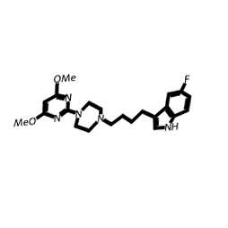 COc1cc(OC)nc(N2CCN(CCCCc3c[nH]c4ccc(F)cc34)CC2)n1